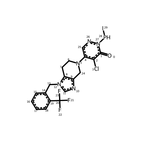 O=c1c(Cl)c(N2CCc3c(ncn3Cc3ccccc3C(F)(F)F)C2)cnn1PI